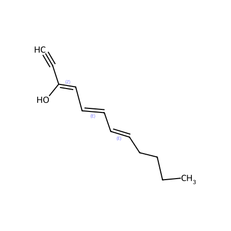 C#C/C(O)=C/C=C/C=C/CCCC